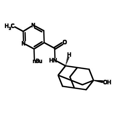 CCCCc1nc(C)ncc1C(=O)N[C@H]1C2CC3CC1C[C@@](O)(C3)C2